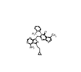 Cc1ccccc1-n1c(Cn2nc(CCC3CC3)c3c(N)ncnc32)nc2scc(C)c2c1=O